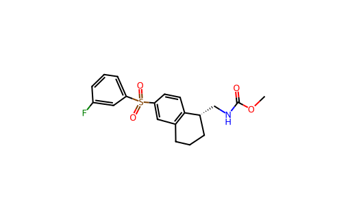 COC(=O)NC[C@@H]1CCCc2cc(S(=O)(=O)c3cccc(F)c3)ccc21